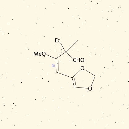 CCC(C)(C=O)/C(=C\C1=COCO1)OC